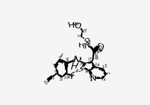 C#Cc1ccc(Nc2sc3ncccc3c2C(=O)NOCCO)c(F)c1